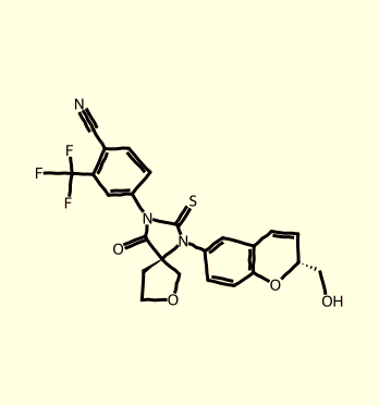 N#Cc1ccc(N2C(=O)[C@]3(CCOC3)N(c3ccc4c(c3)C=C[C@H](CO)O4)C2=S)cc1C(F)(F)F